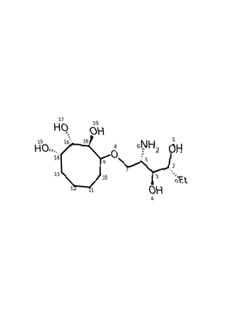 CC[C@@H](O)[C@@H](O)[C@@H](N)COC1CCCC[C@H](O)[C@H](O)[C@H]1O